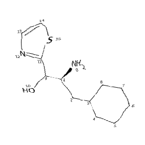 N[C@@H](CC1CCCCC1)C(O)c1nccs1